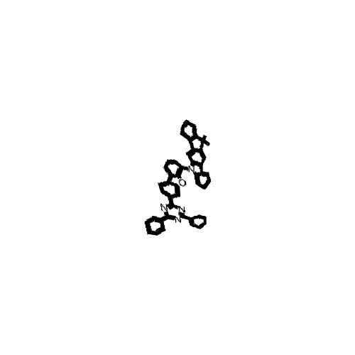 CC1(C)c2ccccc2-c2cc3c(cc21)c1ccccc1n3-c1cccc2c1oc1cc(-c3nc(-c4ccccc4)nc(-c4ccccc4)n3)ccc12